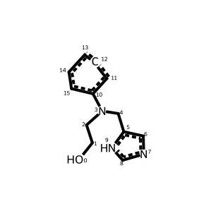 OCCN(Cc1cnc[nH]1)c1ccccc1